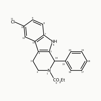 CCOC(=O)N1CCc2c([nH]c3ccc(Cl)cc23)C1c1ccccc1